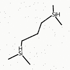 C[SiH](C)CCC[SiH](C)C